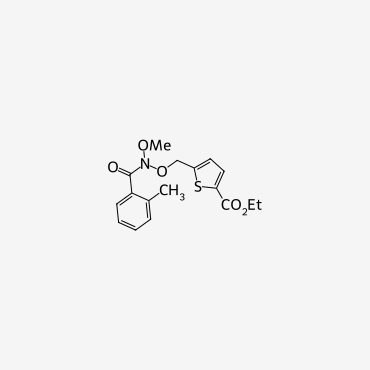 CCOC(=O)c1ccc(CON(OC)C(=O)c2ccccc2C)s1